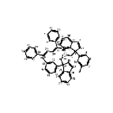 Cc1cccc(C2(C[SiH](CC3(c4cccc(C)c4)C=Cc4ccccc43)[Zr][C](=CC=Cc3ccccc3)c3ccccc3)C=Cc3ccccc32)c1